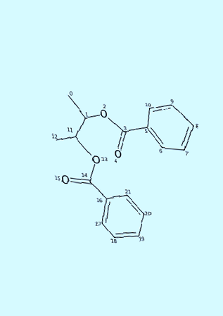 CC(OC(=O)c1ccccc1)C(C)OC(=O)c1ccccc1